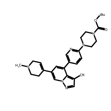 CN1CC=C(c2cc(-c3ccc(N4CCN(C(=O)OC(C)(C)C)CC4)nc3)c3c(C#N)cnn3c2)CC1